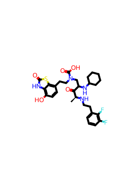 C[C@H](NCCc1cccc(F)c1F)C(=O)C(CN(CCc1ccc(O)c2[nH]c(=O)sc12)C(=O)O)NC1CCCCC1